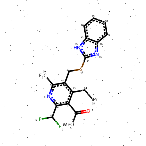 COC(=O)c1c(C(F)F)nc(C(F)(F)F)c(CSc2nc3ccccc3[nH]2)c1CC(C)C